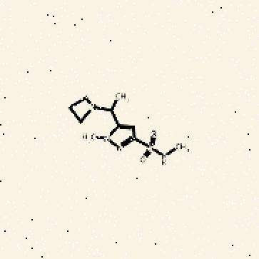 CNS(=O)(=O)c1cc(C(C)N2CCC2)n(C)n1